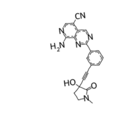 CN1CCC(O)(C#Cc2cccc(-c3ncc4c(C#N)cnc(N)c4n3)c2)C1=O